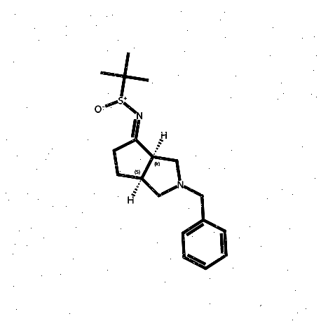 CC(C)(C)[S+]([O-])N=C1CC[C@@H]2CN(Cc3ccccc3)C[C@H]12